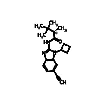 C#Cc1ccc2nc(NC(=O)[C@@H](C)C(C)(C)C)n(C3CCC3)c2c1